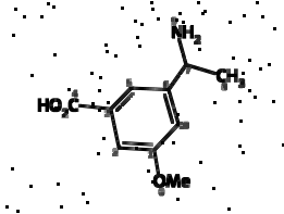 COc1cc(C(=O)O)cc(C(C)N)c1